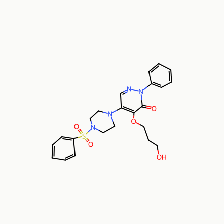 O=c1c(OCCCO)c(N2CCN(S(=O)(=O)c3ccccc3)CC2)cnn1-c1ccccc1